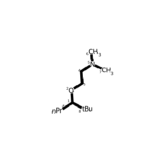 CCCC(OCCN(C)C)C(C)(C)C